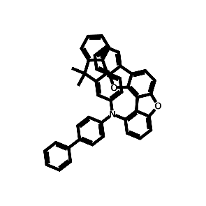 CC1(C)c2ccccc2-c2ccc(N(c3ccc(-c4ccccc4)cc3)c3cccc4oc5ccc6c7ccccc7oc6c5c34)cc21